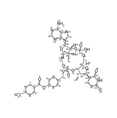 Cc1ccc(C(=O)Oc2ccc(CS[P@@]3(=O)OC[C@H]4O[C@@H](n5cnc6c(N)ncnc65)[C@H](OP(=O)(O)OC[C@H]5O[C@@H](n6ccc(=O)[nH]c6=O)[C@H](F)C5O3)[C@@H]4F)cc2)cc1